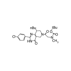 CCCCC1CN(C(=O)CN(C)C(=O)OC(C)(C)C)Cc2c1nc(-c1ccc(Cl)cc1)[nH]c2=O